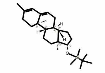 CC1=CC2=CC[C@H]3[C@@H]4CC[C@H](O[Si](C)(C)C(C)(C)C)[C@@]4(C)CC[C@@H]3[C@@]2(C)CC1